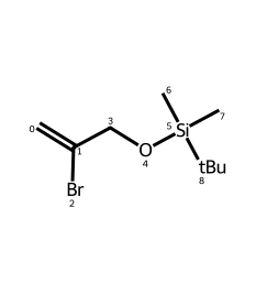 C=C(Br)CO[Si](C)(C)C(C)(C)C